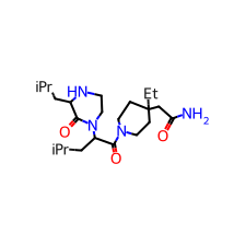 CCC1(CC(N)=O)CCN(C(=O)C(CC(C)C)N2CCNC(CC(C)C)C2=O)CC1